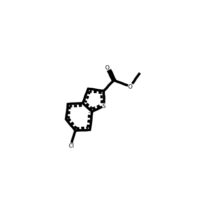 COC(=O)c1cc2ccc(Cl)cc2s1